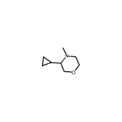 CN1CCOCC1C1CC1